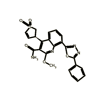 COc1nc2c(-c3nnc(-c4ccccc4)o3)cccc2c([C@H]2C=CS(=O)(=O)C2)c1C(N)=O